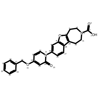 O=C(O)N1CCc2oc3cc(-n4ccc(OCc5ccccc5)cc4=O)ccc3c2CC1